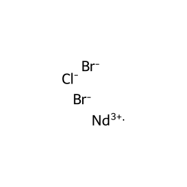 [Br-].[Br-].[Cl-].[Nd+3]